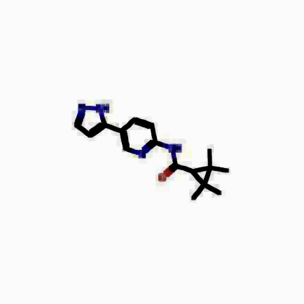 CC1(C)C(C(=O)Nc2ccc(-c3ccn[nH]3)cn2)C1(C)C